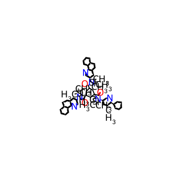 Cc1cc(N(C(=O)C2CC(C(=O)N(c3cnc4c(ccc5ccccc54)c3)[Si](C)(C)C)CC(C(=O)N(c3cnc4c(ccc5ccccc54)c3)[Si](C)(C)C)C2)[Si](C)(C)C)cnc1-c1ccccc1